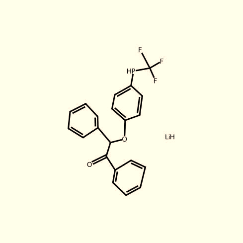 O=C(c1ccccc1)C(Oc1ccc(PC(F)(F)F)cc1)c1ccccc1.[LiH]